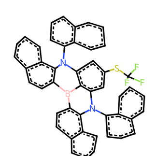 FC(F)(F)Sc1cc2c3c(c1)N(c1cccc4ccccc14)c1c(ccc4ccccc14)B3c1ccc3ccccc3c1N2c1cccc2ccccc12